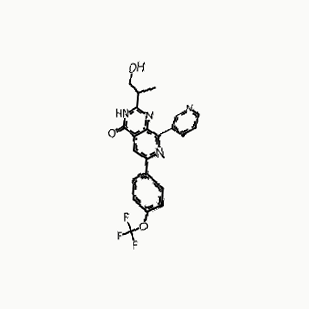 CC(CO)c1nc2c(-c3cccnc3)nc(-c3ccc(OC(F)(F)F)cc3)cc2c(=O)[nH]1